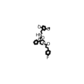 COc1ccc(OC)c(CCNC(=O)OC2(c3ccccc3)CCN(C(=O)CCc3ccc(F)cc3)CC2)c1